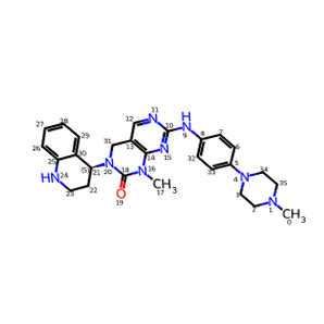 CN1CCN(c2ccc(Nc3ncc4c(n3)N(C)C(=O)N([C@H]3CCNc5ccccc53)C4)cc2)CC1